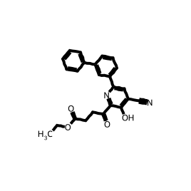 CCOC(=O)CCC(=O)c1nc(-c2cccc(-c3ccccc3)c2)cc(C#N)c1O